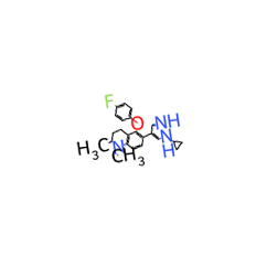 CC1CCc2c(ccc(/C(C=N)=C/NC3CC3)c2Oc2ccc(F)cc2)N1C